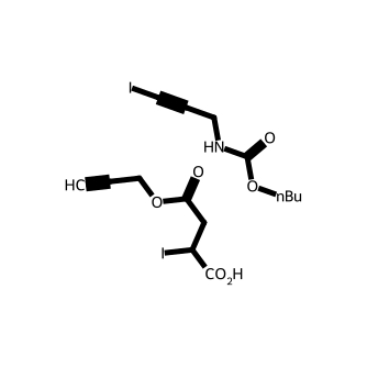 C#CCOC(=O)CC(I)C(=O)O.CCCCOC(=O)NCC#CI